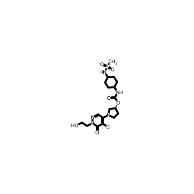 CS(=O)(=O)NC1CCC(NC(=O)O[C@@H]2CCN(c3cnn(CCO)c(=O)c3Cl)C2)CC1